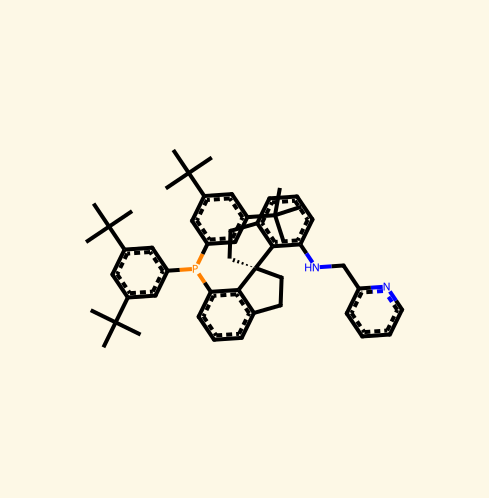 CC(C)(C)c1cc(P(c2cc(C(C)(C)C)cc(C(C)(C)C)c2)c2cccc3c2[C@]2(CCc4cccc(NCc5ccccn5)c42)CC3)cc(C(C)(C)C)c1